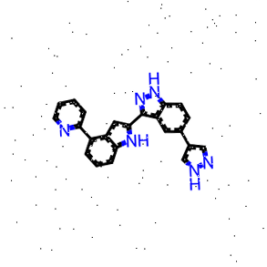 c1ccc(-c2cccc3[nH]c(-c4n[nH]c5ccc(-c6cn[nH]c6)cc45)cc23)nc1